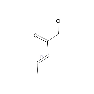 C/C=C/C(=O)CCl